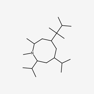 CC(C)C1CC(C(C)C)N(C)C(C)CC(C(C)(C)C(C)C)C1